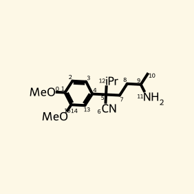 COc1ccc(C(C#N)(CCC(C)N)C(C)C)cc1OC